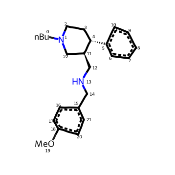 CCCCN1CC[C@H](c2ccccc2)[C@@H](CNCc2ccc(OC)cc2)C1